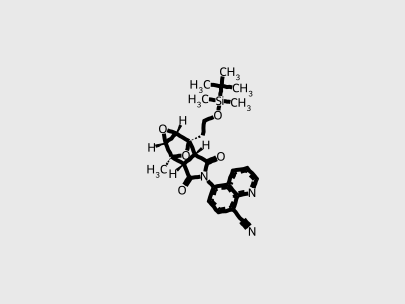 CC(C)(C)[Si](C)(C)OCC[C@]12O[C@](C)([C@@H]3O[C@@H]31)[C@H]1C(=O)N(c3ccc(C#N)c4ncccc34)C(=O)[C@H]12